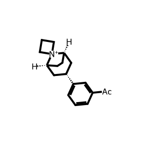 CC(=O)c1cccc([C@H]2C[C@H]3CC[C@@H](C2)[N+]32CCC2)c1